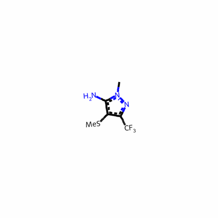 CSc1c(C(F)(F)F)nn(C)c1N